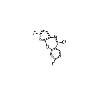 Fc1ccc2c(c1)Oc1cc(F)ccc1C(Cl)=N2